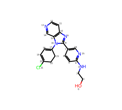 OCCNc1ccc(-c2nc3ccncc3n2C2=CC=C(Cl)CC2)cn1